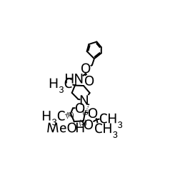 COC1[C@H](C)CO[C@@]2(CN3CCC(C)(NC(=O)OCc4ccccc4)CC3)OC(C)(C)O[C@@H]12